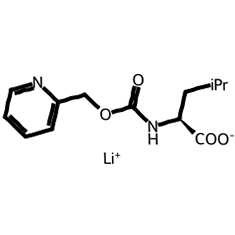 CC(C)C[C@H](NC(=O)OCc1ccccn1)C(=O)[O-].[Li+]